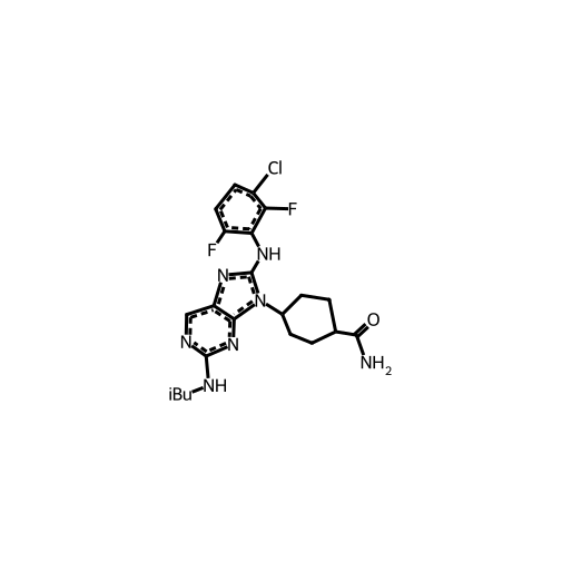 CCC(C)Nc1ncc2nc(Nc3c(F)ccc(Cl)c3F)n(C3CCC(C(N)=O)CC3)c2n1